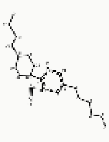 CCCCCCc1cnc([C@]2(C#N)CC[C@H](CCCC)CC2)nc1